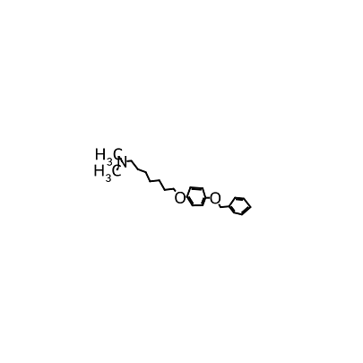 CN(C)CCCCCCCOc1ccc(OCc2ccccc2)cc1